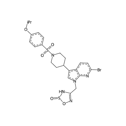 CC(C)Oc1ccc(S(=O)(=O)N2CCC(c3cn(CC4=NOS(=O)N4)c4nc(Br)ccc34)CC2)cc1